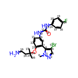 Cn1ncc(Br)c1-c1cc(NC(=O)Nc2ccc(F)cc2)ccc1OC(C)(C)CCN